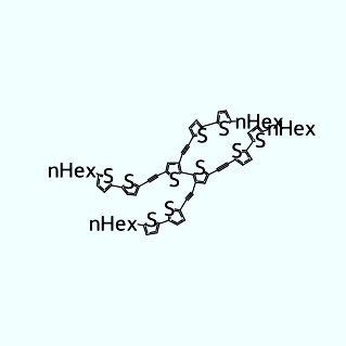 CCCCCCc1ccc(-c2ccc(C#Cc3cc(C#Cc4ccc(-c5ccc(CCCCCC)s5)s4)c(-c4sc(C#Cc5ccc(-c6ccc(CCCCCC)s6)s5)cc4C#Cc4ccc(-c5ccc(CCCCCC)s5)s4)s3)s2)s1